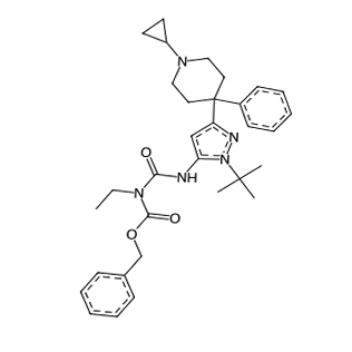 CCN(C(=O)Nc1cc(C2(c3ccccc3)CCN(C3CC3)CC2)nn1C(C)(C)C)C(=O)OCc1ccccc1